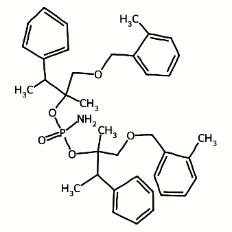 Cc1ccccc1COCC(C)(OP(N)(=O)OC(C)(COCc1ccccc1C)C(C)c1ccccc1)C(C)c1ccccc1